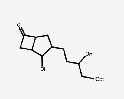 CCCCCCCCCC(O)CCC1CC2C(=O)CC2C1O